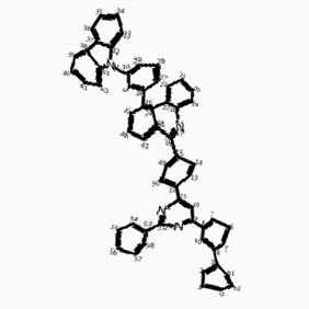 c1ccc(-c2cccc(-c3cc(-c4ccc(-c5nc6ccccc6c6c(-c7cccc(-n8c9ccccc9c9ccccc98)c7)cccc56)cc4)nc(-c4ccccc4)n3)c2)cc1